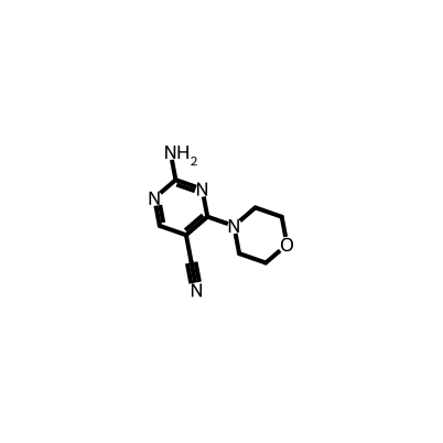 N#Cc1cnc(N)nc1N1CCOCC1